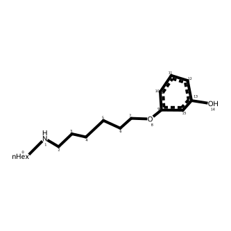 CCCCCCNCCCCCCOc1cccc(O)c1